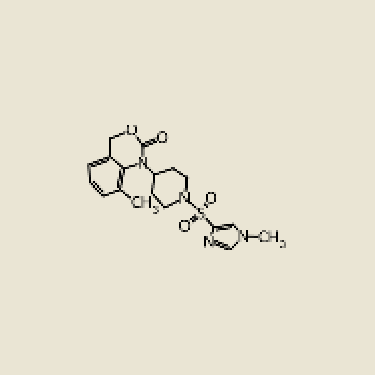 Cc1cccc2c1N(C1CCN(S(=O)(=O)c3cn(C)cn3)CC1)C(=O)OC2